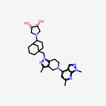 Cc1cc(N2CCc3c(c(C)nn3CC34CCCC(C3)C(N3C[C@@H](O)[C@@H](O)C3)CC4)C2)c2cnn(C)c2n1